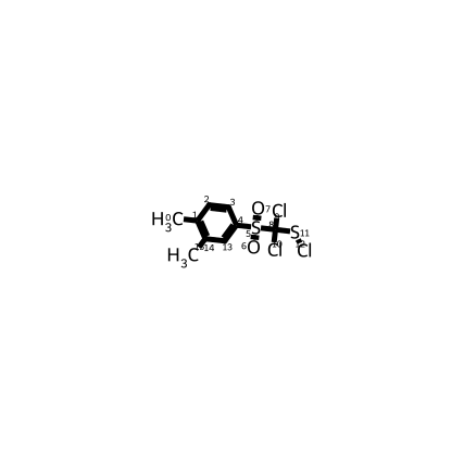 Cc1ccc(S(=O)(=O)C(Cl)(Cl)SCl)cc1C